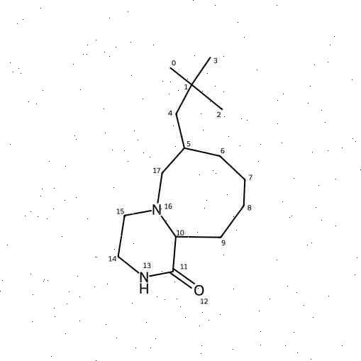 CC(C)(C)CC1CCCCC2C(=O)NCCN2C1